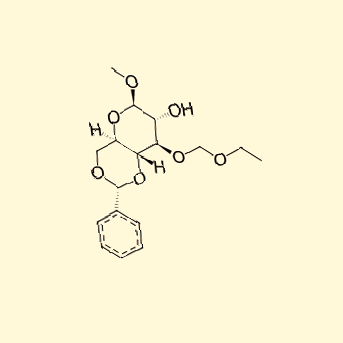 CCOCO[C@@H]1[C@@H](O)[C@H](OC)O[C@@H]2CO[C@@H](c3ccccc3)O[C@@H]12